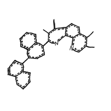 Cc1cnc2c(ccc3c(C)c(C)c(-c4ccc(-c5cc#cc6ccccc56)c5ccccc45)nc32)c1C